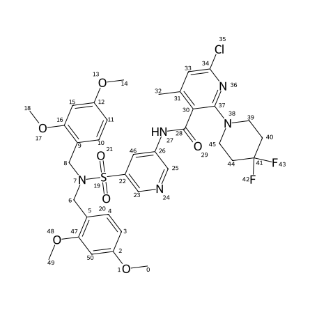 COc1ccc(CN(Cc2ccc(OC)cc2OC)S(=O)(=O)c2cncc(NC(=O)c3c(C)cc(Cl)nc3N3CCC(F)(F)CC3)c2)c(OC)c1